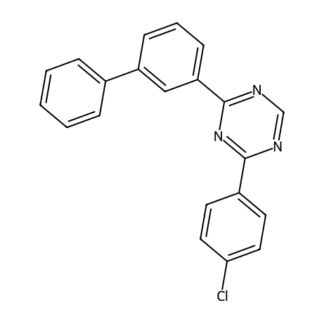 Clc1ccc(-c2ncnc(-c3cccc(-c4ccccc4)c3)n2)cc1